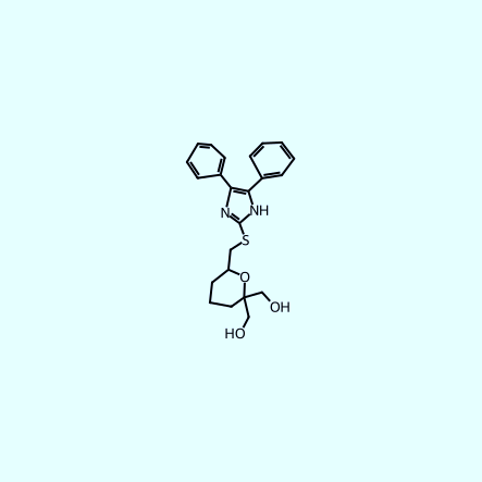 OCC1(CO)CCCC(CSc2nc(-c3ccccc3)c(-c3ccccc3)[nH]2)O1